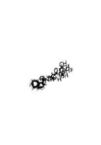 CC(C)CC(NC(=O)C1CC(CNC(=O)c2cccc3c2CCCC3)=NO1)B(O)O